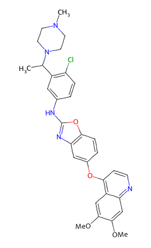 COc1cc2nccc(Oc3ccc4oc(Nc5ccc(Cl)c(C(C)N6CCN(C)CC6)c5)nc4c3)c2cc1OC